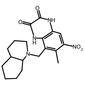 Cc1c([N+](=O)[O-])cc2[nH]c(=O)c(=O)[nH]c2c1CN1CCCC2CCCCC21